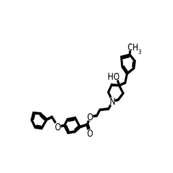 Cc1ccc(CC2(O)CCN(CCCOC(=O)c3ccc(OCc4ccccc4)cc3)CC2)cc1